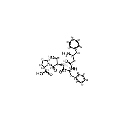 NC(CC(=O)NC(Cc1ccccc1)C(=O)NC(CO)C(=O)N1CCCC1C(=O)O)Cc1ccccc1